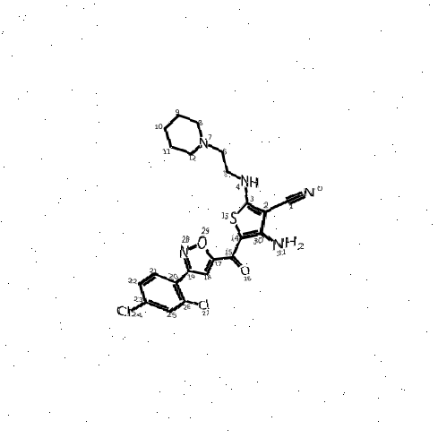 N#Cc1c(NCCN2CCCCC2)sc(C(=O)c2cc(-c3ccc(Cl)cc3Cl)no2)c1N